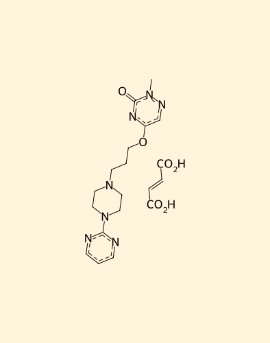 Cn1ncc(OCCCN2CCN(c3ncccn3)CC2)nc1=O.O=C(O)C=CC(=O)O